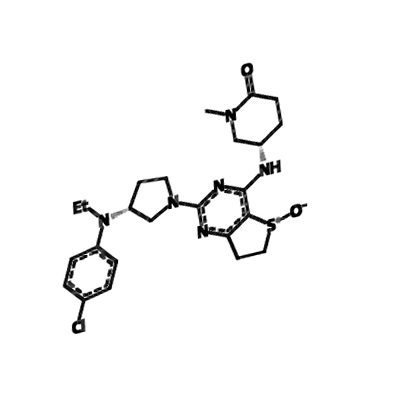 CCN(c1ccc(Cl)cc1)[C@@H]1CCN(c2nc3c(c(N[C@H]4CCC(=O)N(C)C4)n2)[S+]([O-])CC3)C1